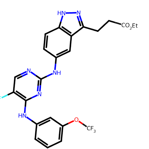 CCOC(=O)CCc1n[nH]c2ccc(Nc3ncc(F)c(Nc4cccc(OC(F)(F)F)c4)n3)cc12